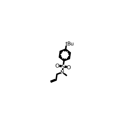 C=CCN(C)S(=O)(=O)c1ccc(C(C)(C)C)cc1